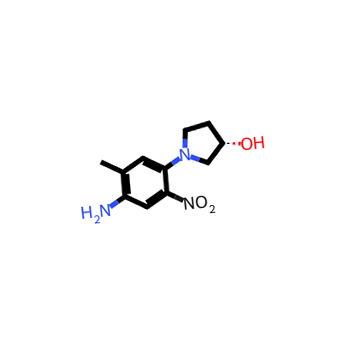 Cc1cc(N2CC[C@H](O)C2)c([N+](=O)[O-])cc1N